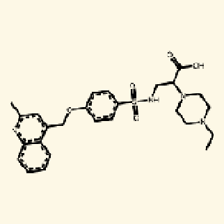 CCN1CCN(C(CNS(=O)(=O)c2ccc(OCc3cc(C)nc4ccccc34)cc2)C(=O)O)CC1